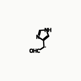 O=C[CH]c1c[nH]cn1